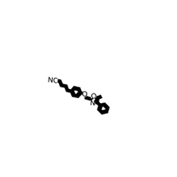 Cc1oc(COc2ccc(CCCCC#N)cc2)nc1-c1ccccc1